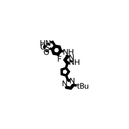 CC(C)(C)c1ccnc(C2CCC(c3cc(Nc4cc5c(cc4F)S(=O)(=O)NC5)n[nH]3)C2)n1